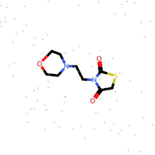 O=C1CSC(=O)N1CCN1CCOCC1